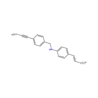 CCCCCCCCC#Cc1ccc(CNc2ccc(/C=C/C(=O)O)cc2)cc1